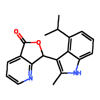 Cc1[nH]c2cccc(C(C)C)c2c1C1OC(=O)c2cccnc21